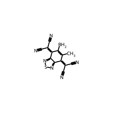 Bc1c(C)c(=C(C#N)C#N)c2nsnc2c1=C(C#N)C#N